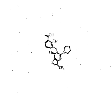 C=C(O)c1cccc(Cn2c(N3CCCCC3)nc3c(C(F)(F)F)csc3c2=O)c1C#N